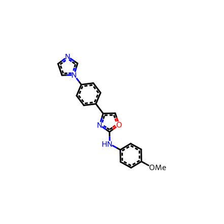 COc1ccc(Nc2nc(-c3ccc(-n4ccnc4)cc3)co2)cc1